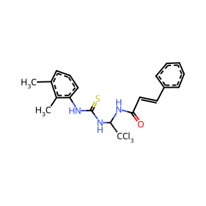 Cc1cccc(NC(=S)NC(NC(=O)/C=C/c2ccccc2)C(Cl)(Cl)Cl)c1C